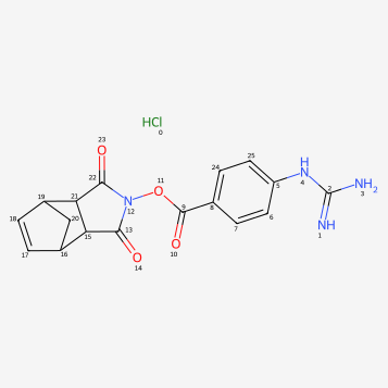 Cl.N=C(N)Nc1ccc(C(=O)ON2C(=O)C3C4C=CC(C4)C3C2=O)cc1